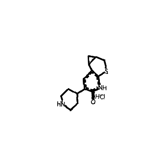 Cl.O=c1[nH]c2c(cc1C1CCNCC1)C1CC1CS2